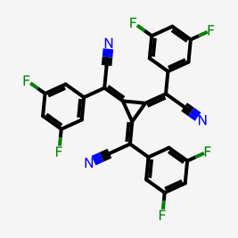 N#CC(=C1C(=C(C#N)c2cc(F)cc(F)c2)C1=C(C#N)c1cc(F)cc(F)c1)c1cc(F)cc(F)c1